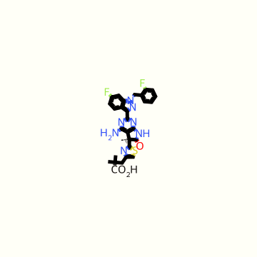 CC(C)(Cc1csc([C@]2(C)C(=O)Nc3nc(-c4nn(Cc5ccccc5F)c5cc(F)ccc45)nc(N)c32)n1)C(=O)O